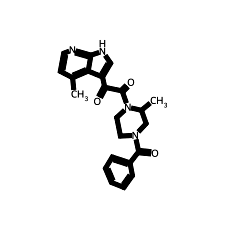 Cc1ccnc2[nH]cc(C(=O)C(=O)N3CCN(C(=O)c4ccccc4)CC3C)c12